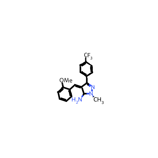 COc1ccccc1C=C1C(c2ccc(C(F)(F)F)cc2)=NN(C)C1N